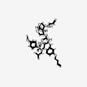 C=CCCOc1cccc(C[C@H](NC(=O)O[C@H]2CO[C@H]3OC[C@H](NCC=C)[C@H]32)[C@H](O)CN(CC(C)C)S(=O)(=O)c2ccc(OC)cc2)c1